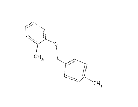 Cc1ccc(COc2ccccc2C)cc1